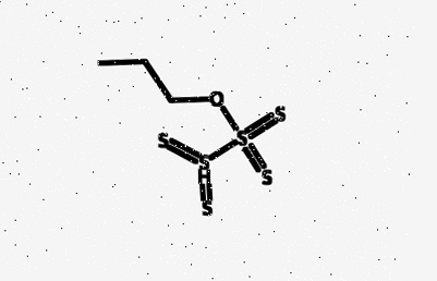 CCCOS(=S)(=S)[SH](=S)=S